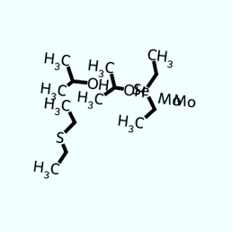 CC(C)O.CC(C)O.CCSCC.CC[Se]CC.[Mo].[Mo]